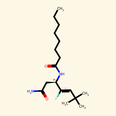 CCCCCCCC(=O)N[C@H](CC(N)=O)/C(F)=C/C(C)(C)C